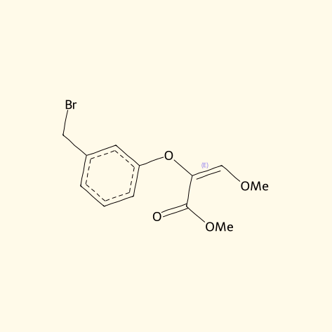 CO/C=C(/Oc1cccc(CBr)c1)C(=O)OC